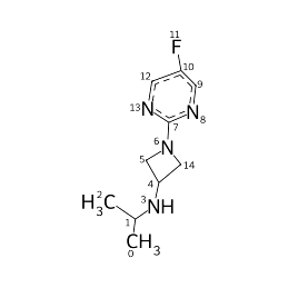 CC(C)NC1CN(c2ncc(F)cn2)C1